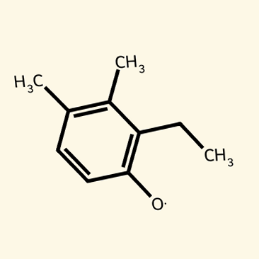 CCc1c([O])ccc(C)c1C